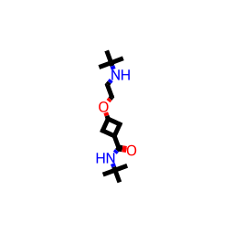 CC(C)(C)NCCOC1CC(C(=O)NC(C)(C)C)C1